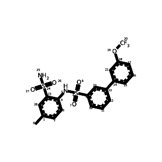 Cc1ccc(NS(=O)(=O)c2cccc(-c3cccc(OC(F)(F)F)c3)c2)c(S(N)(=O)=O)c1